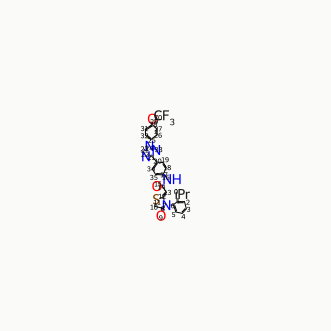 CC(C)c1ccccc1N1C(=O)CS/C1=C\C(=O)Nc1ccc(-c2ncn(-c3ccc(OC(F)(F)F)cc3)n2)cc1